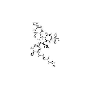 COCCOCCn1cc(C(CC(c2ccc(S(C)(=O)=O)cc2)c2ccc(Cl)cc2C)=NO)ccc1=O